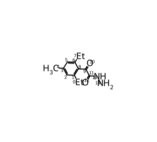 CCc1cc(C)cc(CC)c1C(=O)C(=O)NN